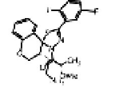 CO[C@@H](C)C(=O)N1N=C(c2cc(F)ccc2F)S[C@@]12c1ccccc1OC[C@H]2CCN